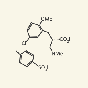 CNC[C@H](Cc1cc(Cl)ccc1OC)C(=O)O.Cc1ccc(S(=O)(=O)O)cc1